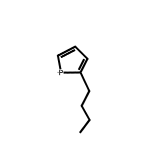 CCCCC1=CC=C[P]1